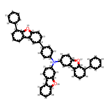 c1ccc(-c2cccc3c2oc2ccc(-c4ccc(N(c5ccc6c(c5)oc5ccccc56)c5ccc6oc7c(-c8ccccc8)cccc7c6c5)cc4)cc23)cc1